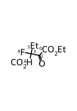 CCOC(=O)C(=O)C(F)(CC)C(=O)O